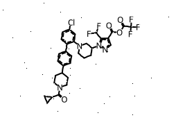 O=C(OC(=O)C(F)(F)F)c1cnn(C2CCCN(c3cc(Cl)ccc3-c3ccc(C4CCN(C(=O)C5CC5)CC4)cc3)C2)c1C(F)F